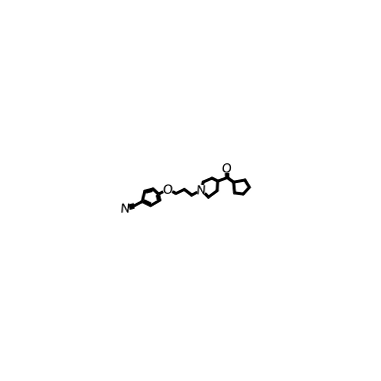 N#Cc1ccc(OCCCN2CCC(C(=O)C3CCCC3)CC2)cc1